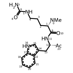 CN[C@@H](CCCNC(N)=O)C(=O)N[C@@H](Cc1c[nH]c2ccccc12)C(C)=O